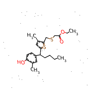 CCCCC(c1ccc(O)c(C)c1)c1cc(C)c(CSCC(=O)OCC)s1